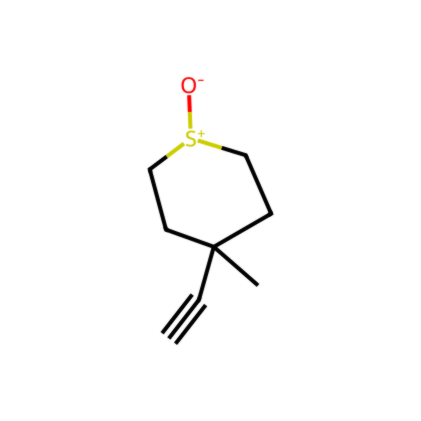 C#CC1(C)CC[S+]([O-])CC1